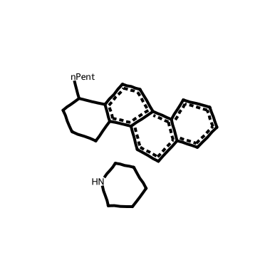 C1CCNCC1.CCCCCC1CCCc2c1ccc1c2ccc2ccccc21